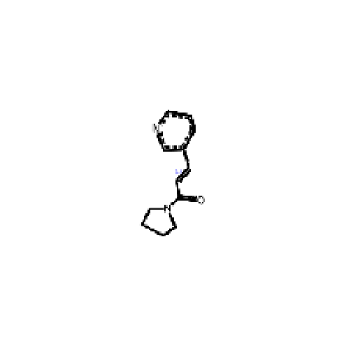 O=C(/C=C/c1cccnc1)N1CCCC1